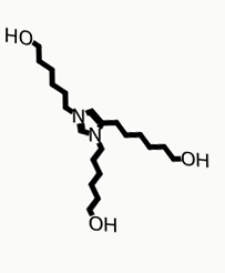 OCCCCCCc1c[n+](CCCCCCO)cn1CCCCCCO